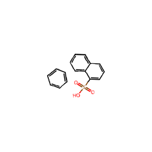 O=S(=O)(O)c1cccc2ccccc12.c1ccccc1